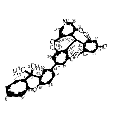 CC1(C)c2ccccc2Oc2ccc(-c3cc(Cl)c(C(c4c(Cl)cncc4Cl)c4c(Cl)cc(Cl)cc4Cl)c(Cl)c3)cc21